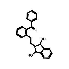 O=C(c1ccccc1)c1[c]cccc1CCN1C(O)c2ccccc2C1O